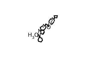 CN(c1ccc2c(n1)CCN(CC(=O)N1CCN(C3CCC3)CC1)C2)C1CCCCC1